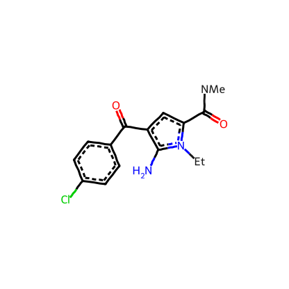 CCn1c(C(=O)NC)cc(C(=O)c2ccc(Cl)cc2)c1N